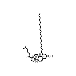 CCCCCCCCCCCCCCCCCCC1C[C@H](O)CC2=CC[C@H]3[C@@H]4CC[C@H]([C@H](C)CCCC(C)C)[C@@]4(C)CC[C@@H]3[C@]21C